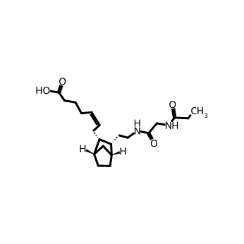 CCC(=O)NCC(=O)NCC[C@@H]1[C@@H]2CC[C@@H](C2)[C@@H]1C/C=C\CCCC(=O)O